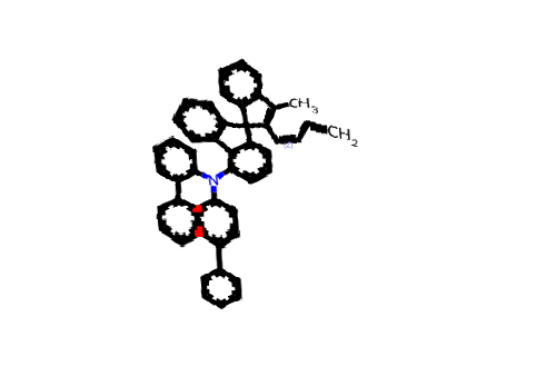 C=C/C=C\C1=C(C)c2ccccc2C12c1ccccc1-c1c(N(c3ccc(-c4ccccc4)cc3)c3ccccc3-c3ccccc3)cccc12